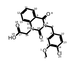 COc1cc(Cn2c(=O)c3ccccc3n(CC(=O)O)c2=O)ccc1Cl